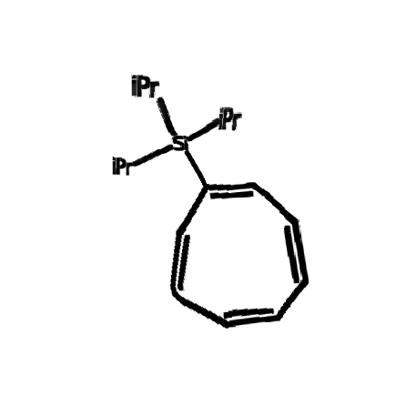 CC(C)[Si](C1=C/C=C\C=C/C=C\1)(C(C)C)C(C)C